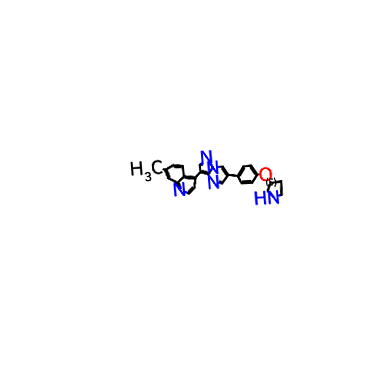 Cc1ccc2c(-c3cnn4cc(-c5ccc(O[C@H]6CCNC6)cc5)cnc34)ccnc2c1